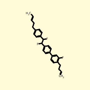 C=CCCc1ccc(-c2ccc(C(F)C(F)c3ccc(CC/C=C/C)cc3)cc2)cc1F